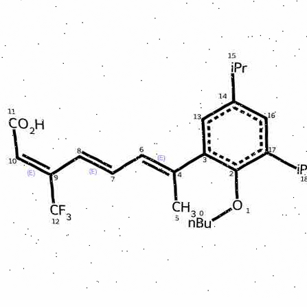 CCCCOc1c(/C(C)=C/C=C/C(=C\C(=O)O)C(F)(F)F)cc(C(C)C)cc1C(C)C